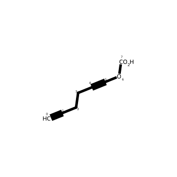 C#CCCC#COC(=O)O